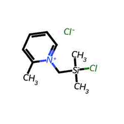 Cc1cccc[n+]1C[Si](C)(C)Cl.[Cl-]